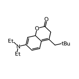 CCN(CC)C1=CC2OC(=O)CC(CC(C)(C)C)=C2C=C1